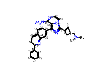 CCN(CC)C[C@H]1C[C@@H](c2nc(-c3ccc4c(c3)=NC(c3ccccc3)CC=4)c3c(N)nccn32)C1